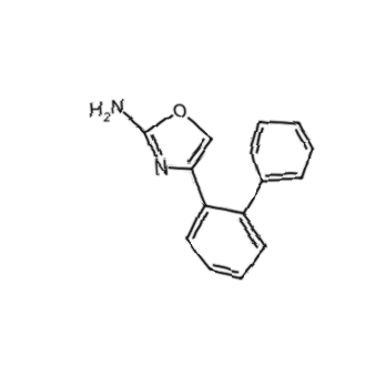 Nc1nc(-c2ccccc2-c2ccccc2)co1